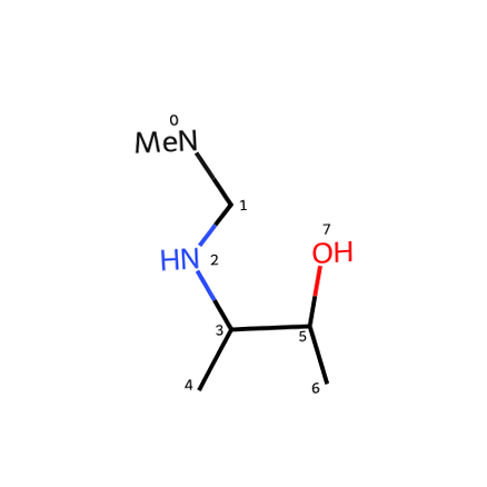 CNCNC(C)C(C)O